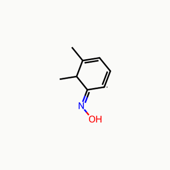 CC1=CC=[C]C(=NO)C1C